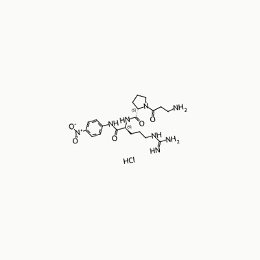 Cl.N=C(N)NCCC[C@H](NC(=O)[C@@H]1CCCN1C(=O)CCN)C(=O)Nc1ccc([N+](=O)[O-])cc1